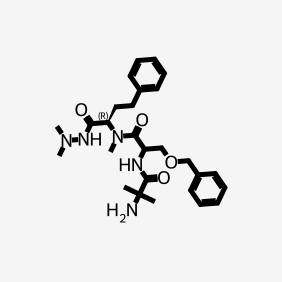 CN(C)NC(=O)[C@@H](CCc1ccccc1)N(C)C(=O)C(COCc1ccccc1)NC(=O)C(C)(C)N